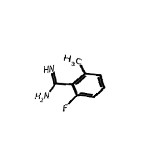 Cc1cccc(F)c1C(=N)N